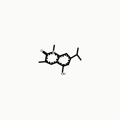 Cc1cc2c(O)cc(C(C)C)cc2n(C)c1=O